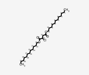 CCCCCCCCCCCCOC(=O)CC(Cl)C(=O)OCCCCCCCCCCCC